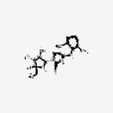 Cc1cccc(C)c1Oc1ccn([C@@H]2O[C@](F)(CO)[C@@H](O)[C@H]2O)c(=O)n1